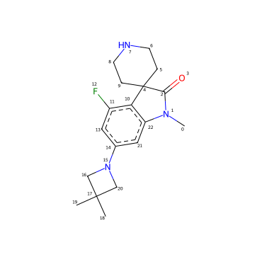 CN1C(=O)C2(CCNCC2)c2c(F)cc(N3CC(C)(C)C3)cc21